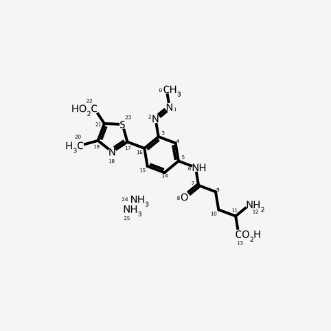 C/N=N/c1cc(NC(=O)CCC(N)C(=O)O)ccc1-c1nc(C)c(C(=O)O)s1.N.N